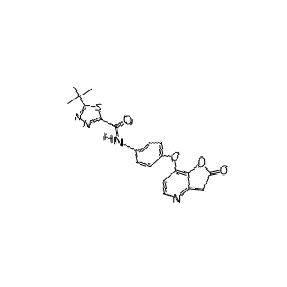 CC(C)(C)c1nnc(C(=O)Nc2ccc(Oc3ccnc4c3OC(=O)C4)cc2)s1